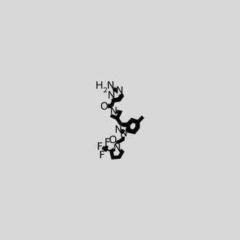 Cc1ccc2c(c1)c(C1CN(C(=O)c3ccnc(N)n3)C1)nn2CC(=O)N1CCC[C@H]1C(F)(F)F